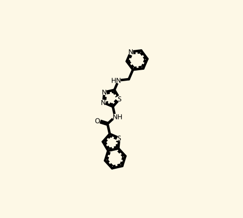 O=C(Nc1nnc(NCc2cccnc2)s1)c1cc2ccccc2s1